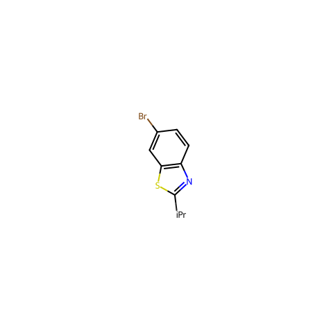 CC(C)c1nc2ccc(Br)cc2s1